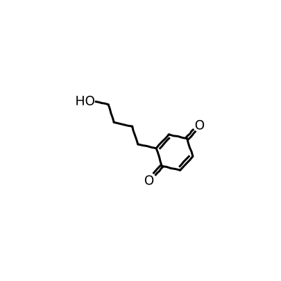 O=C1C=CC(=O)C(CCCCO)=C1